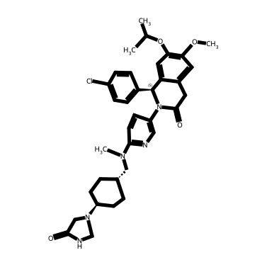 COc1cc2c(cc1OC(C)C)[C@H](c1ccc(Cl)cc1)N(c1ccc(N(C)C[C@H]3CC[C@H](N4CNC(=O)C4)CC3)nc1)C(=O)C2